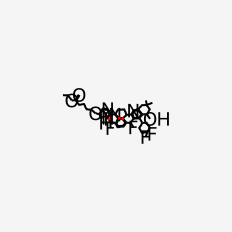 CCOC(=O)CCCCOc1cnc(N2CCC(c3nc4c(c(C5CCC(F)(F)CC5)c3C(F)c3ccc(C(F)(F)F)cc3)C(O)CC(C)(C)C4)CC2)nc1